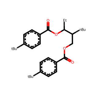 CCCCC(COC(=O)c1ccc(C(C)(C)C)cc1)C(CC)OC(=O)c1ccc(C(C)(C)C)cc1